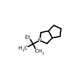 CCC(C)(C)N1CC2CCCC2C1